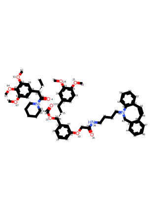 CC[C@H](C(=O)N1CCCC[C@H]1C(=O)O[C@H](CCc1ccc(OC)c(OC)c1)c1cccc(OCC(=O)NCCCCN2Cc3ccccc3C#Cc3ccccc32)c1)c1cc(OC)c(OC)c(OC)c1